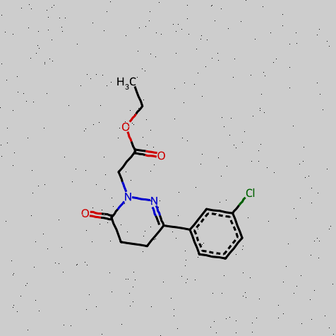 CCOC(=O)CN1N=C(c2cccc(Cl)c2)CCC1=O